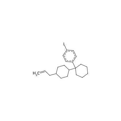 C=CCC1CCC(C2(c3ccc(I)cc3)CCCCC2)CC1